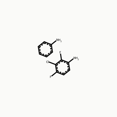 Nc1ccc(F)c(Cl)c1F.Nc1ccccc1